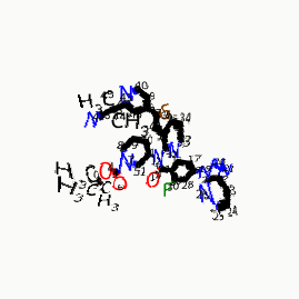 CC(C)(C)OC(=O)N1CCC[C@@H](N(C(=O)c2ccc(-n3nnc4cccnc43)cc2F)c2nccc3sc(-c4ccnc(C(C)(C)C#N)c4)cc23)C1